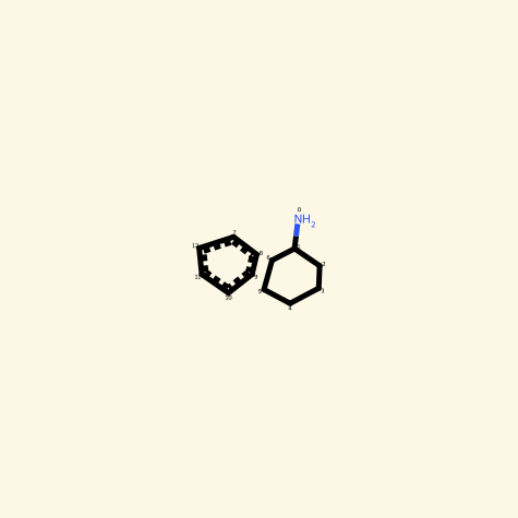 NC1CCCCC1.c1ccccc1